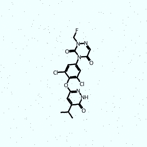 CC(C)c1cc(Oc2c(Cl)cc(-n3c(=O)cnn(CF)c3=O)cc2Cl)n[nH]c1=O